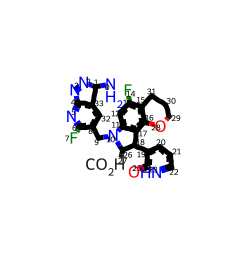 NC1N=Nc2nc(F)c(CN3c4cc(F)c5c(c4C(c4ccc[nH]c4=O)C3C(=O)O)OCCC5)cc21